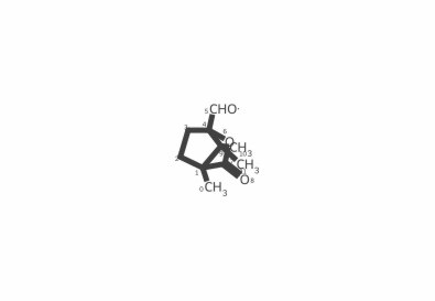 CC12CCC([C]=O)(OC1=O)C2(C)C